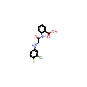 O=C(CNc1ccc(F)c(Cl)c1)Nc1ccccc1C(=O)O